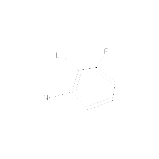 CCc1cc[c]c(C#N)c1CC